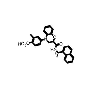 Cc1cc(N2CC(C(=O)N[C@H](C)c3cccc4ccccc34)Oc3ccccc32)ccc1C(=O)O